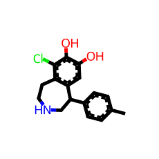 Cc1ccc(C2CNCCc3c2cc(O)c(O)c3Cl)cc1